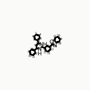 C1=C(c2ccccc2)NC(c2cccc(-c3nc4ccccc4o3)c2)NC1c1ccccc1